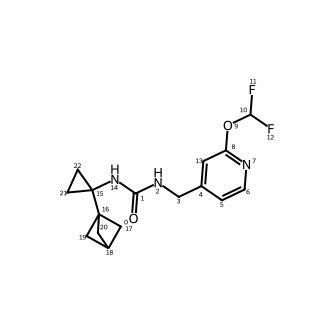 O=C(NCc1ccnc(OC(F)F)c1)NC1(C23CC(C2)C3)CC1